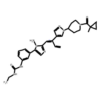 C=C/C(=C\c1ncc(-c2cccc(NC(=O)NCC(F)(F)F)c2)n1N)c1cnn(C2CCN(C(=O)C3(C)CC3)CC2)c1